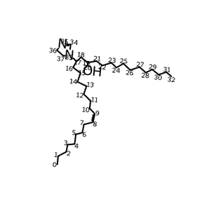 CCCCCCCC/C=C\CCCCCCCC(CC(O)CCCCCCCCCCCC)N1C=NCC1